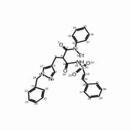 CCN(C(=O)C(Cc1cnn(Cc2ccccc2)c1)C(=O)NS(=O)(=O)C=Cc1ccccc1)c1ccccc1